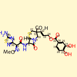 CON=C(C(=O)NC1C(=O)N2CC(C=CCOC(=O)c3ccc(O)c(O)c3)(C(=O)O)CS[C@H]12)c1nsc(N)n1